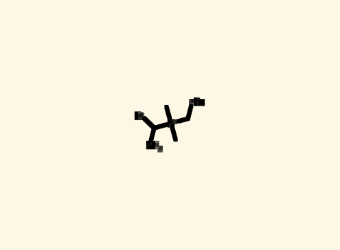 CCCCC[N+](C)(C)C(N)CC